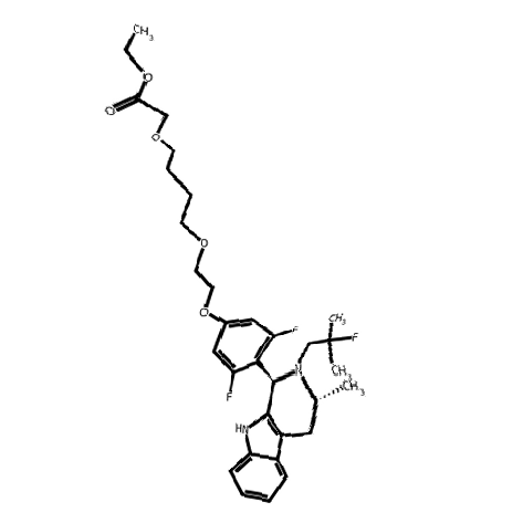 CCOC(=O)COCCCCOCCOc1cc(F)c([C@@H]2c3[nH]c4ccccc4c3C[C@@H](C)N2CC(C)(C)F)c(F)c1